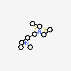 c1ccc(-n2c3cc(-c4ccc(N(c5cccc6c5sc5ccccc56)c5cccc6c5sc5ccccc56)cc4)ccc3c3ccc4ccccc4c32)cc1